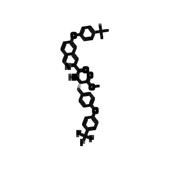 COC(=O)[C@H](Cc1ccc(Oc2ccc(C(F)(F)F)cc2)cc1)NC(=O)c1cc2cc(Oc3ccc(C(C)(C)C)cc3)ccc2cn1